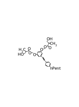 C=C(CO)C(=O)OCOc1cc(C#Cc2ccc(CCCCC)cc2)cc(OCOC(=O)C(=C)CO)c1